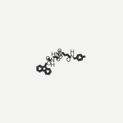 Cc1ccc(CNC(=O)CCCS(=O)(=O)NC(=O)CNC(=O)OCC2c3ccccc3-c3ccccc32)cc1